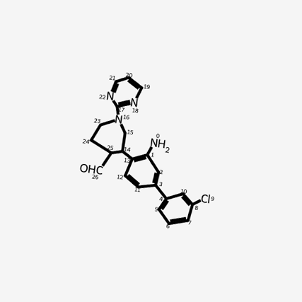 Nc1cc(-c2cccc(Cl)c2)ccc1C1CN(c2ncccn2)CCC1C=O